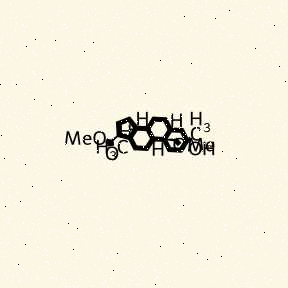 COC[C@]12CC[C@@](C)(O)C[C@H]1CC[C@H]1[C@@H]3CC[C@H](C(=O)OC)[C@@]3(C)CC[C@@H]12